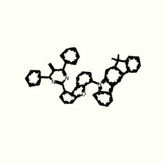 C=C1C(c2ccccc2)=NC(c2cccc3oc4c(-n5c6ccccc6c6cc7c(cc65)C(C)(C)c5ccccc5-7)cccc4c23)=NC1c1ccccc1